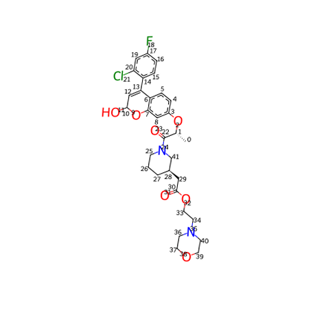 C[C@@H](Oc1ccc2c(c1)OC(O)C=C2c1ccc(F)cc1Cl)C(=O)N1CCC[C@H](CC(=O)OCCN2CCOCC2)C1